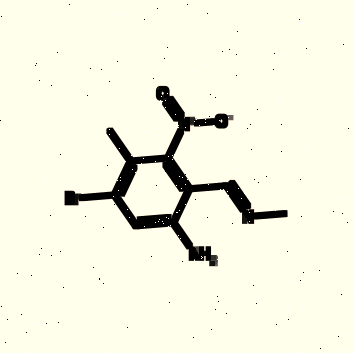 C/N=C/c1c(N)cc(Br)c(C)c1[N+](=O)[O-]